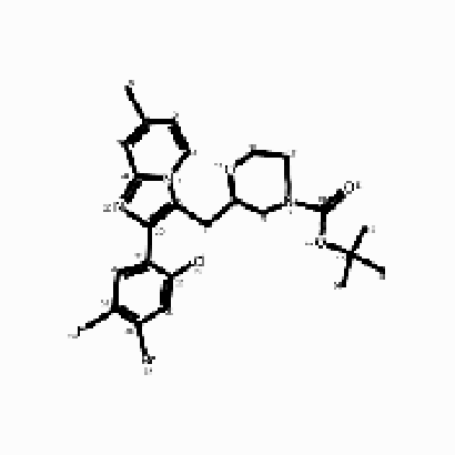 Cc1ccn2c(CC3CN(C(=O)OC(C)(C)C)CCO3)c(-c3cc(F)c(Br)cc3Cl)nc2c1